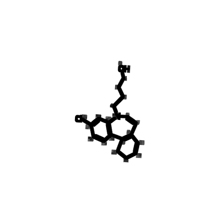 OCCCCN1C=CC2=C(CCC=C2)c2ccc(Cl)cc21